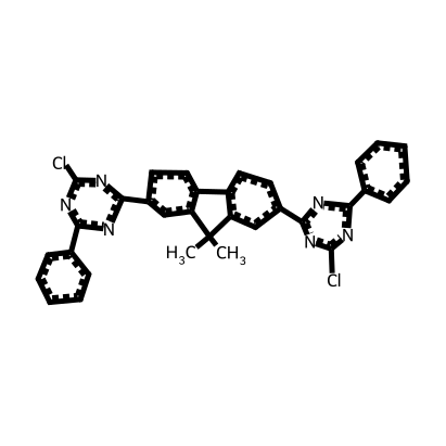 CC1(C)c2cc(-c3nc(Cl)nc(-c4ccccc4)n3)ccc2-c2ccc(-c3nc(Cl)nc(-c4ccccc4)n3)cc21